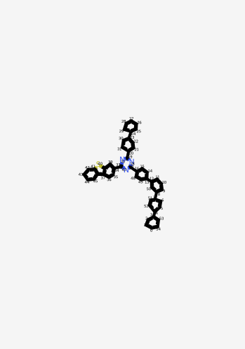 c1ccc(-c2ccc(-c3cccc(-c4ccc(-c5nc(-c6ccc(-c7ccccc7)cc6)nc(-c6ccc7c(c6)sc6ccccc67)n5)cc4)c3)cc2)cc1